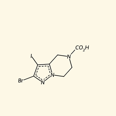 O=C(O)N1CCn2nc(Br)c(I)c2C1